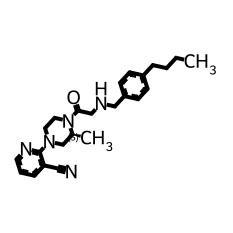 CCCCc1ccc(CNCC(=O)N2CCN(c3ncccc3C#N)C[C@@H]2C)cc1